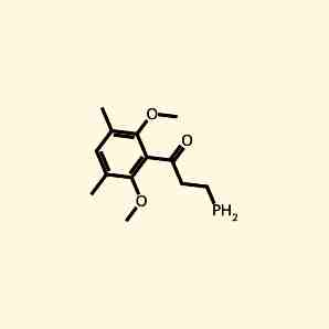 COc1c(C)cc(C)c(OC)c1C(=O)CCP